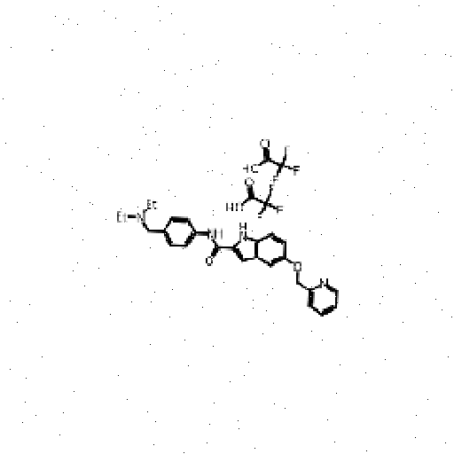 CCN(CC)Cc1ccc(NC(=O)c2cc3cc(OCc4ccccn4)ccc3[nH]2)cc1.O=C(O)C(F)(F)F.O=C(O)C(F)(F)F